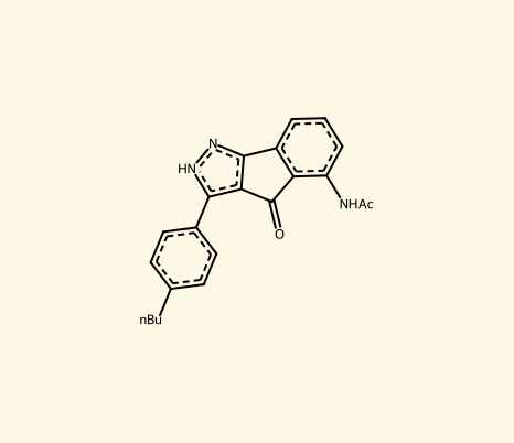 CCCCc1ccc(-c2[nH]nc3c2C(=O)c2c(NC(C)=O)cccc2-3)cc1